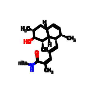 CCCCNC(=O)C(C)=CC=C[C@@H]1[C@H]2[C@H](C)[C@@H](O)[C@H](C)C[C@@H]2C=C[C@@H]1C